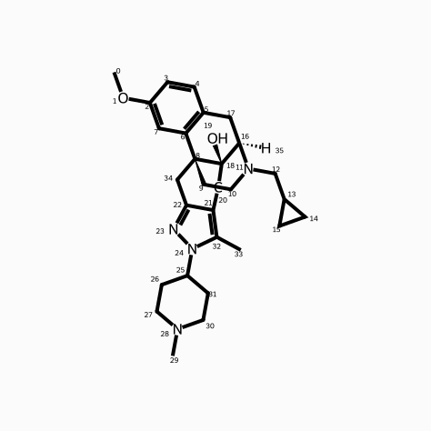 COc1ccc2c(c1)[C@]13CCN(CC4CC4)[C@H](C2)[C@]1(O)Cc1c(nn(C2CCN(C)CC2)c1C)C3